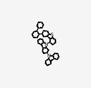 c1ccc(-c2ccccc2-c2ccc3sc4cccc(-n5c6ccccc6c6ccc(-n7c8ccccc8c8ccccc87)cc65)c4c3c2)cc1